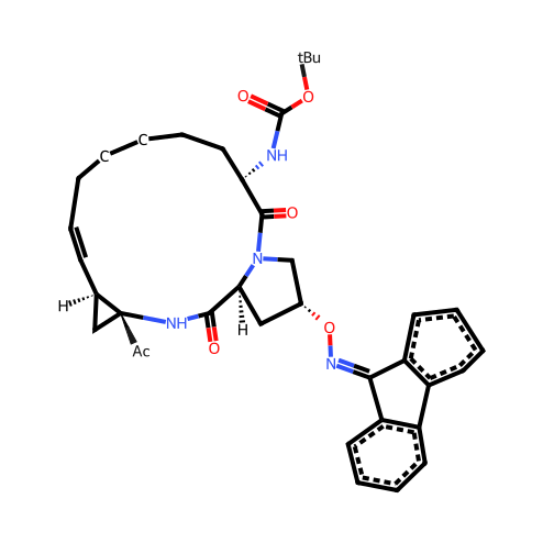 CC(=O)[C@@]12C[C@H]1/C=C\CCCCC[C@H](NC(=O)OC(C)(C)C)C(=O)N1C[C@H](ON=C3c4ccccc4-c4ccccc43)C[C@H]1C(=O)N2